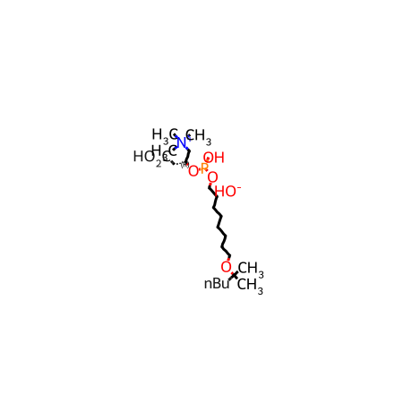 CCCCC(C)(C)OCCCCCCCCOP(O)O[C@H](CC(=O)O)C[N+](C)(C)C.[OH-]